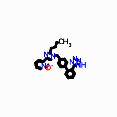 CCCCc1nc(-c2cccc[n+]2[O-])cn1Cc1ccc(-c2ccccc2-c2nnn[nH]2)cc1